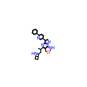 CC(CC1NC2CCC21)c1nc2c(-c3ccc(-c4ccccc4)nc3)cnn2c2c1COCN2